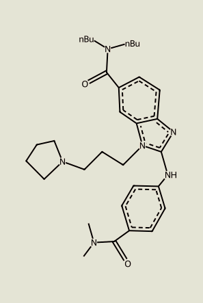 CCCCN(CCCC)C(=O)c1ccc2nc(Nc3ccc(C(=O)N(C)C)cc3)n(CCCN3CCCC3)c2c1